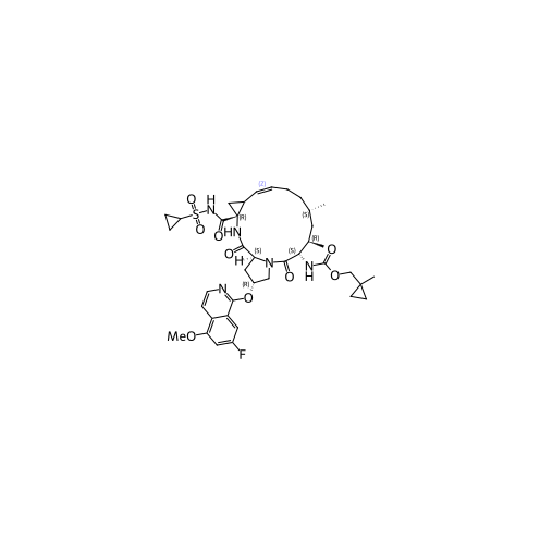 COc1cc(F)cc2c(O[C@@H]3C[C@H]4C(=O)N[C@]5(C(=O)NS(=O)(=O)C6CC6)CC5/C=C\CC[C@H](C)C[C@@H](C)[C@H](NC(=O)OCC5(C)CC5)C(=O)N4C3)nccc12